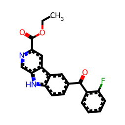 CCOC(=O)c1cc2c(cn1)[nH]c1ccc(C(=O)c3ccccc3F)cc12